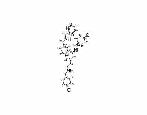 Clc1ccc(CNCCN(CCNCc2ccc(Cl)cc2)Cc2ccc(CNCc3ccccn3)cc2)cc1